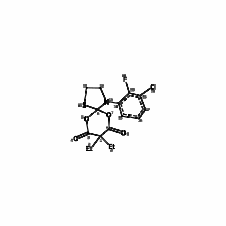 CCC1(CC)C(=O)OC2(OC1=O)SCCN2c1cccc(Cl)c1F